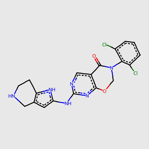 O=C1c2cnc(Nc3cc4c([nH]3)CCNC4)nc2OCN1c1c(Cl)cccc1Cl